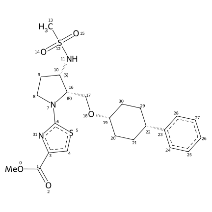 COC(=O)c1csc(N2CC[C@H](NS(C)(=O)=O)[C@@H]2CO[C@H]2CC[C@@H](c3ccccc3)CC2)n1